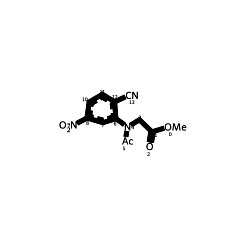 COC(=O)CN(C(C)=O)c1cc([N+](=O)[O-])ccc1C#N